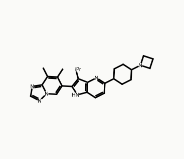 Cc1c(-c2[nH]c3ccc(C4CCC(N5CCC5)CC4)nc3c2C(C)C)cn2ncnc2c1C